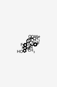 COC(C)(C)C(=O)N1CCN(c2cc(F)c3nc4c(c(N(C)c5nc(-c6ccc(F)cc6)c(C#N)s5)c3c2)CCC4O)CC1